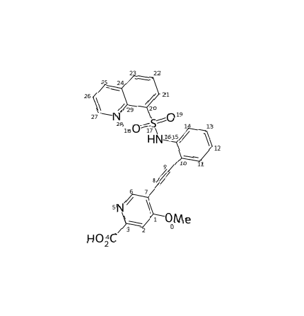 COc1cc(C(=O)O)ncc1C#Cc1ccccc1NS(=O)(=O)c1cccc2cccnc12